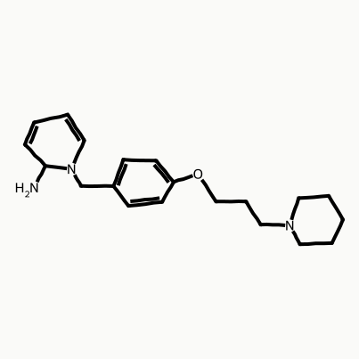 NC1C=CC=CN1Cc1ccc(OCCCN2CCCCC2)cc1